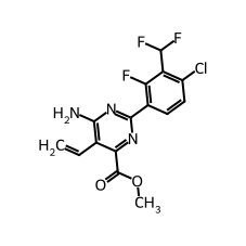 C=Cc1c(N)nc(-c2ccc(Cl)c(C(F)F)c2F)nc1C(=O)OC